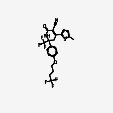 Cc1ccc(C2=C(C#N)C(=O)NC(c3ccc(OCCCC(F)(F)F)cc3)(C(F)(F)F)C2)s1